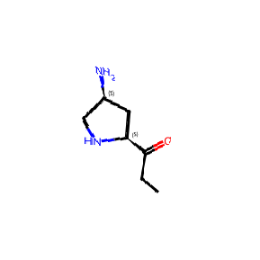 CCC(=O)[C@@H]1C[C@H](N)CN1